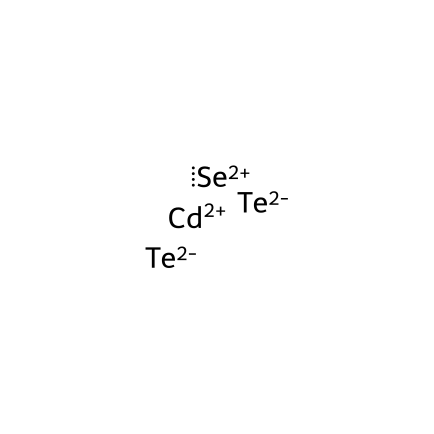 [Cd+2].[Se+2].[Te-2].[Te-2]